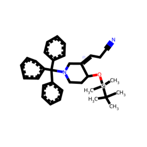 CC(C)(C)[Si](C)(C)OC1CCN(C(c2ccccc2)(c2ccccc2)c2ccccc2)C/C1=C/CC#N